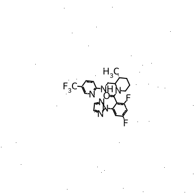 C[C@@H]1CCCN(C(=O)c2c(F)cc(F)cc2-n2nccn2)C1CNc1ccc(C(F)(F)F)cn1